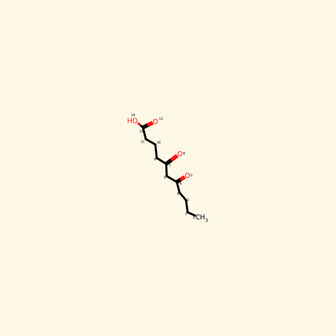 CCCCC(=O)CC(=O)CCCC(=O)O